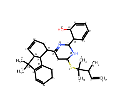 C=CC(C)C(C)(C)SC1CC(C2CC=CC3C2C2=C(C=CCC2)C3(C)C)=NC(C2C=CC=CC2O)N1